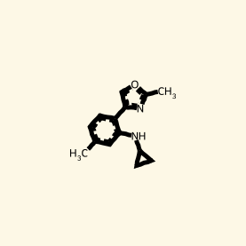 Cc1ccc(-c2coc(C)n2)c(NC2CC2)c1